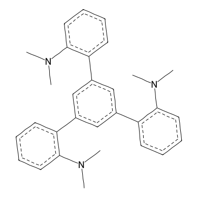 CN(C)c1ccccc1-c1cc(-c2ccccc2N(C)C)cc(-c2ccccc2N(C)C)c1